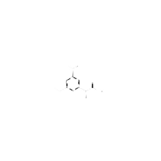 CCc1cc(C(F)F)cc(C(C)C(=O)O)c1